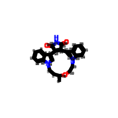 CC1CCn2cc(c3ccccc32)C2=C(C(=O)NC2=O)c2cn(c3ccccc23)CCO1